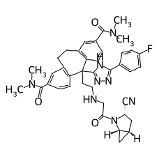 CN(C)C(=O)c1ccc2c(c1)CCc1cc(C(=O)N(C)C)ccc1C2(CCNCC(=O)N1[C@H](C#N)C[C@@H]2C[C@@H]21)c1nnc(-c2ccc(F)cc2)[nH]1